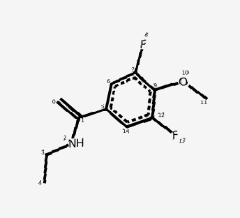 C=C(NCC)c1cc(F)c(OC)c(F)c1